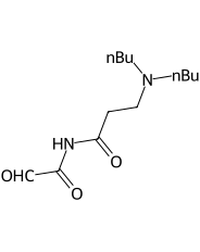 CCCCN(CCCC)CCC(=O)NC(=O)C=O